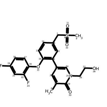 Cc1cc(-c2cc(CS(C)(=O)=O)ccc2Oc2ccc(F)cc2F)cn(CCO)c1=O